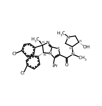 CC(C)C1=C(C(=O)N(C)[C@H]2CN(C)C[C@@H]2O)SC2=N[C@@](C)(c3ccc(Cl)cc3)[C@@H](c3ccc(Cl)cc3)N21